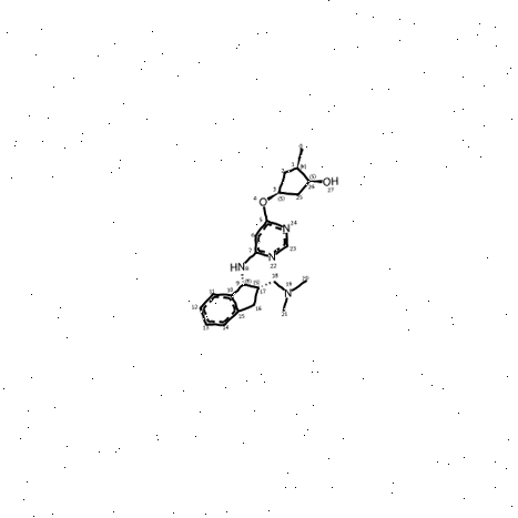 C[C@@H]1C[C@H](Oc2cc(N[C@H]3c4ccccc4C[C@H]3CN(C)C)ncn2)C[C@@H]1O